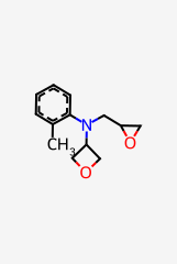 Cc1ccccc1N(CC1CO1)C1COC1